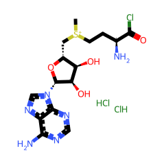 C[S+](CC[C@H](N)C(=O)Cl)C[C@H]1O[C@@H](n2cnc3c(N)ncnc32)[C@H](O)[C@@H]1O.Cl.Cl